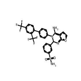 NC1=c2ccoc2=NC(c2cccc(S(N)(=O)=O)c2)N1c1ccc(-c2ccc(C(F)(F)F)cc2C(F)(F)F)cc1